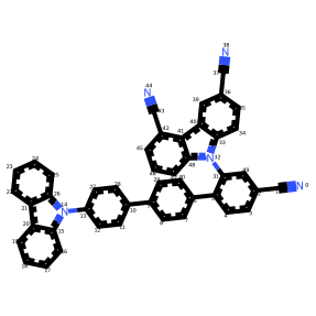 N#Cc1ccc(-c2ccc(-c3ccc(-n4c5ccccc5c5ccccc54)cc3)cc2)c(-n2c3ccc(C#N)cc3c3c(C#N)cccc32)c1